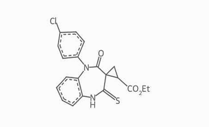 CCOC(=O)C1CC12C(=O)N(c1ccc(Cl)cc1)c1ccccc1NC2=S